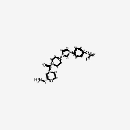 NC[C@@H]1CN(C(=O)N2CCN(N3C=CN(c4ccc(OC(F)F)cc4)C3)CC2)CCO1